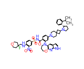 CC(C)c1ccccc1[C@@H]1CCCN1C1CC2(CCN(c3ccc(C(=O)NS(=O)(=O)c4ccc(NCC5(F)CCOCC5)c([N+](=O)[O-])c4)c(N4CCCOc5nc6[nH]ccc6cc54)c3)CC2)C1